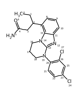 CCC(CC(N)=O)c1cccc2nc3n(c12)CCCN3c1ccc(Cl)cc1Cl